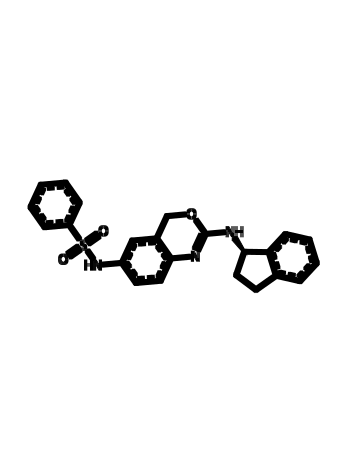 O=S(=O)(Nc1ccc2c(c1)COC(N[C@@H]1CCc3ccccc31)=N2)c1ccccc1